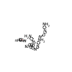 CCCCCCN(C)C.C[N+](C)(C)C1CCN(c2ccc(N)cc2)C1.C[N+](C)(C)CC(=O)OP(=O)([O-])OC1CCN(c2ccc(N)cc2)C1.C[N+](C)(C)CCOC1CCN(c2ccc(N)cc2)C1.[Cl-].[Cl-]